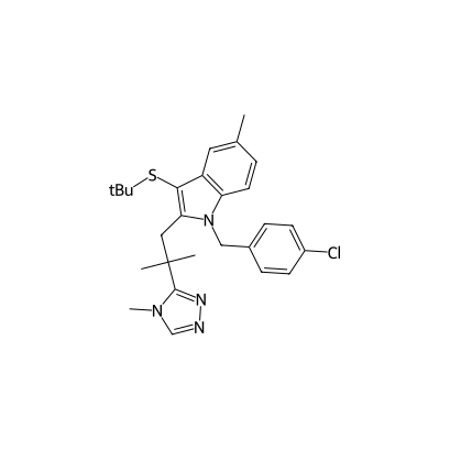 Cc1ccc2c(c1)c(SC(C)(C)C)c(CC(C)(C)c1nncn1C)n2Cc1ccc(Cl)cc1